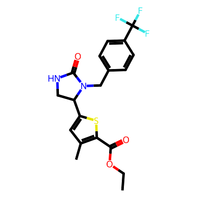 CCOC(=O)c1sc(C2CNC(=O)N2Cc2ccc(C(F)(F)F)cc2)cc1C